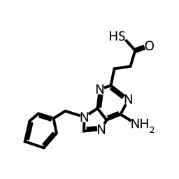 Nc1nc(CCC(=O)S)nc2c1ncn2Cc1ccccc1